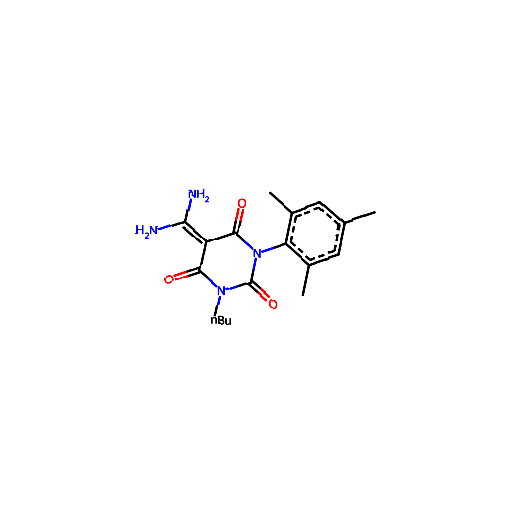 CCCCN1C(=O)C(=C(N)N)C(=O)N(c2c(C)cc(C)cc2C)C1=O